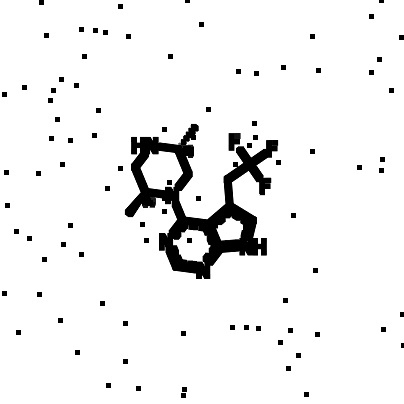 C[C@@H]1CN(c2ncnc3[nH]cc(CC(F)(F)F)c23)[C@@H](C)CN1